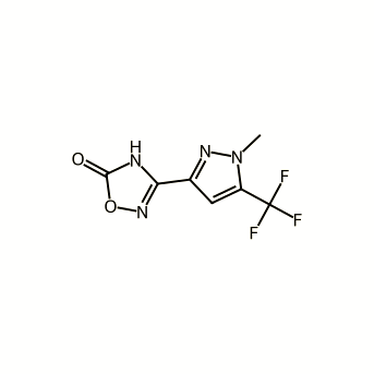 Cn1nc(-c2noc(=O)[nH]2)cc1C(F)(F)F